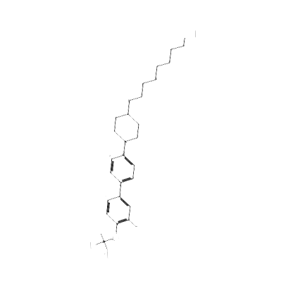 CCCCCCCCCC1CCC(c2ccc(-c3ccc(OC(F)(F)F)c(F)c3)cc2)CC1